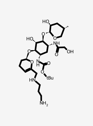 C[C@@H]1CO[C@H](O[C@@H]2[C@@H](O)[C@H](O[C@@H]3CCC=C(CNCCCN)O3)[C@@H](NC(=O)OC(C)(C)C)C[C@H]2NC(=O)CO)[C@H](O)C1